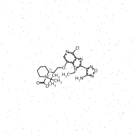 CCn1c(-c2nonc2N)nc2c(Cl)ncc(OCC[C@@H]3CCCC[N+]3(C(=O)[O-])C(C)(C)C)c21